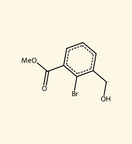 COC(=O)c1cccc([CH]O)c1Br